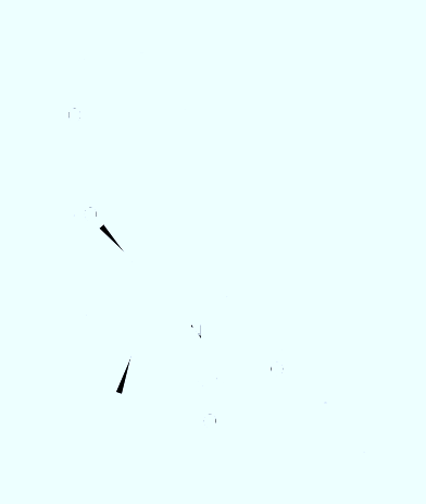 C[C@H]1C[C@@H](OC2CCCCO2)CCN1C(=O)OC(C)(C)C